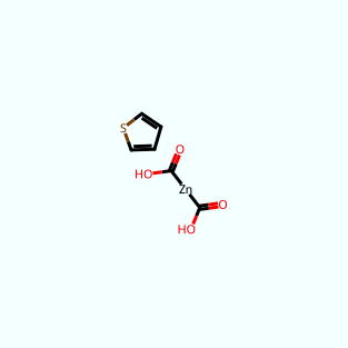 O=[C](O)[Zn][C](=O)O.c1ccsc1